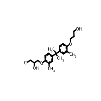 Cc1cc(C(C)(C)c2ccc(OCC(O)CCl)c(C)c2)ccc1OCCCO